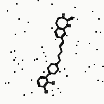 O=C1NCCc2ccc(C=CCCCN3CCN(c4cccc(Cl)c4Cl)CC3)cc2N1